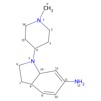 CN1CCC(N2CCC3C=CC(N)=CC32)CC1